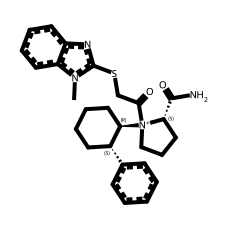 Cn1c(SCC(=O)[N+]2([C@@H]3CCCC[C@H]3c3ccccc3)CCC[C@H]2C(N)=O)nc2ccccc21